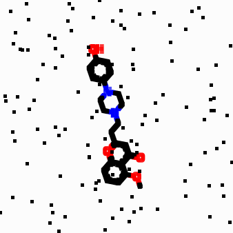 COc1cccc2oc(CCN3CCN(c4ccc(O)cc4)CC3)cc(=O)c12